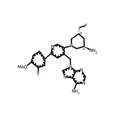 COc1ccc(-c2cc(Cn3cnc4c(N)ncnc43)c(N3C[C@H](N)C[C@@H](CF)C3)cn2)cc1F